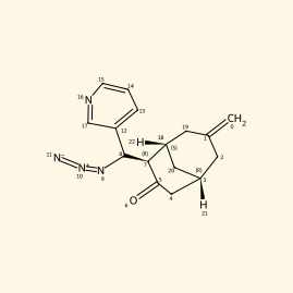 C=C1C[C@@H]2CC(=O)[C@@H](C(N=[N+]=[N-])c3cccnc3)[C@H](C1)C2